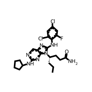 CCC[C@@H](CCC(N)=O)n1c(Nc2c(F)cc(Cl)cc2Cl)nc2cnc(NC3CCCC3)nc21